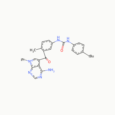 Cc1ccc(NC(=O)Nc2ccc(C(C)(C)C)cc2)cc1C(=O)c1cn(C(C)C)c2ncnc(N)c12